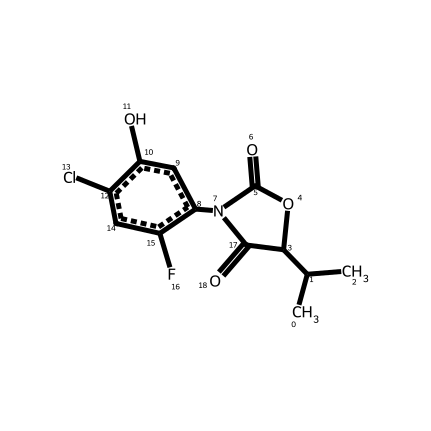 CC(C)C1OC(=O)N(c2cc(O)c(Cl)cc2F)C1=O